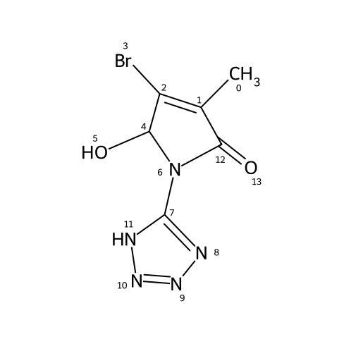 CC1=C(Br)C(O)N(c2nnn[nH]2)C1=O